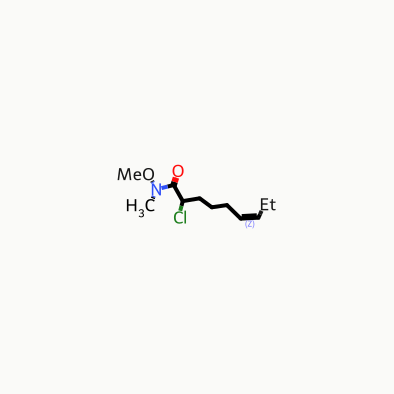 CC/C=C\CCCC(Cl)C(=O)N(C)OC